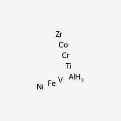 [AlH3].[Co].[Cr].[Fe].[Ni].[Ti].[V].[Zr]